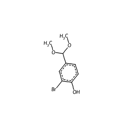 COC(OC)c1ccc(O)c(Br)c1